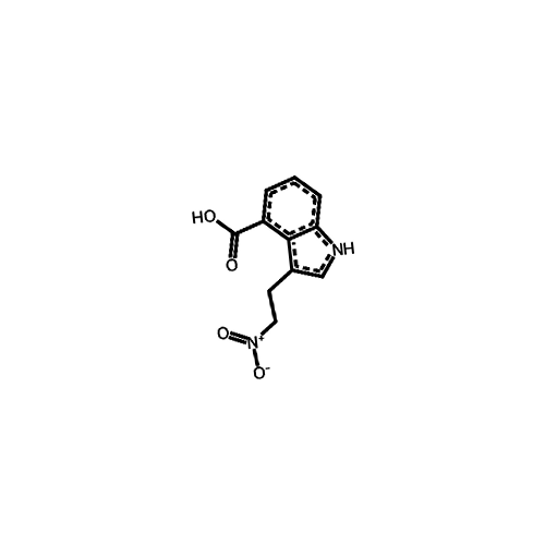 O=C(O)c1cccc2[nH]cc(CC[N+](=O)[O-])c12